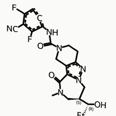 CC[C@@H](O)[C@H]1CN(C)C(=O)c2c3c(nn2C1)CCN(C(=O)Nc1ccc(F)c(C#N)c1F)C3